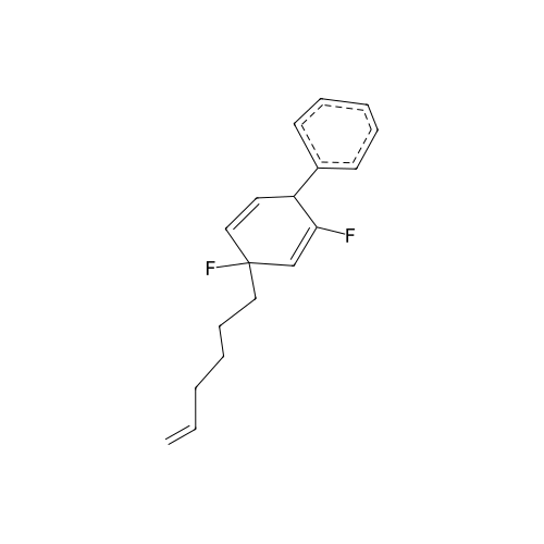 C=CCCCCC1(F)C=CC(c2ccccc2)C(F)=C1